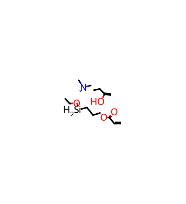 C=C(O)CC.C=CC(=O)OCCC[SiH2]OCC.CN(C)C